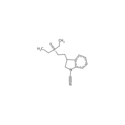 CCP(=O)(CC)CCC1CN(C#N)c2ccccc21